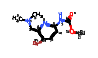 CN(C)Cc1nc(NC(=O)OC(C)(C)C)ccc1Br